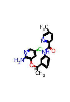 C[C@@H](Oc1cc(Cl)cnc1N)c1cccc(NC(=O)c2ccc(C(F)(F)F)cn2)c1